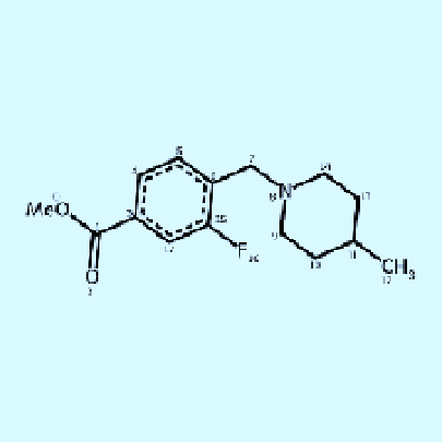 COC(=O)c1ccc(CN2CCC(C)CC2)c(F)c1